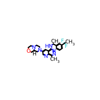 Cc1nnc(N[C@H](C)c2cccc(C(C)(F)F)c2)c2cc(N3CCN4CCOC[C@@H]4C3)cnc12